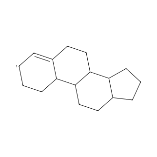 [C]1C=C2CCC3C4CCCC4CCC3C2CC1